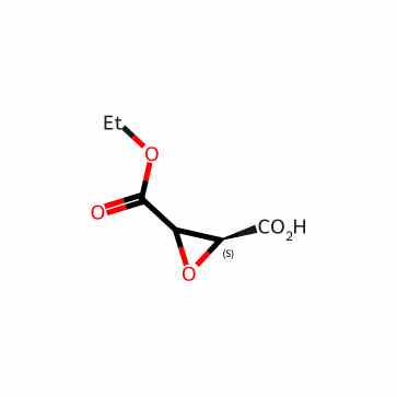 CCOC(=O)C1O[C@@H]1C(=O)O